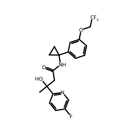 CC(O)(CC(=O)NC1(c2cccc(OCC(F)(F)F)c2)CC1)c1ccc(F)cn1